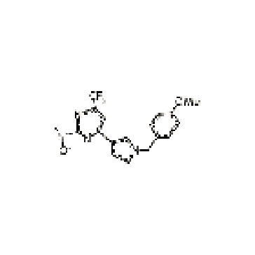 COc1ccc(Cn2ccc(-c3cc(C(F)(F)F)nc([S+](C)[O-])n3)c2)cc1